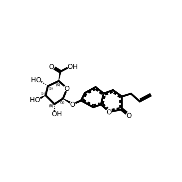 C=CCc1cc2ccc(O[C@@H]3O[C@H](C(=O)O)[C@@H](O)[C@H](O)[C@H]3O)cc2oc1=O